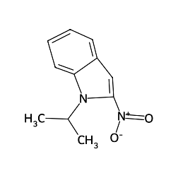 CC(C)n1c([N+](=O)[O-])cc2ccccc21